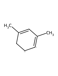 CC1=[C][C]CC(C)=C1